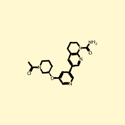 CC(=O)N1CCC[C@@H](Oc2cncc(-c3cnc4c(c3)CCCN4C(N)=O)c2)C1